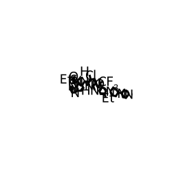 CCc1cc(Nc2ncc(Cl)c(Nc3ccc4nccnc4c3N(C)S(=O)(=O)CC)n2)c(OC(F)(F)F)cc1N1CCC(N2CCN(C)CC2)CC1